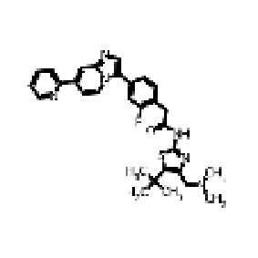 CN(C)Cc1nc(NC(=O)Cc2ccc(-c3cnc4cc(-c5ccccn5)ccn34)cc2F)sc1C(C)(C)C